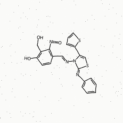 O=Nc1c(/C=N/n2c(-c3cccs3)cs/c2=N\c2ccccc2)ccc(O)c1CO